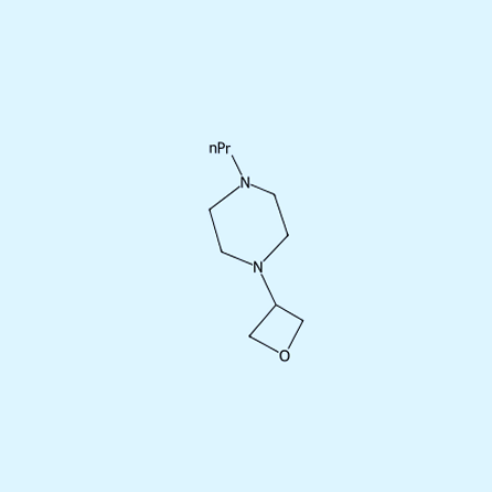 CCCN1CCN(C2COC2)CC1